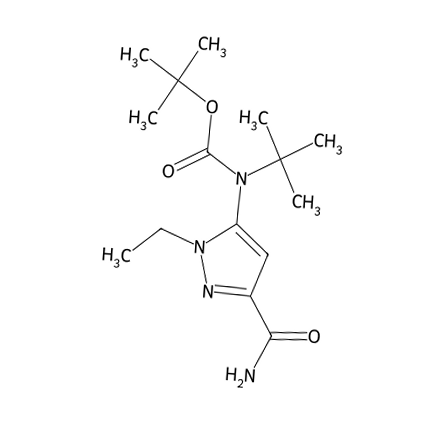 CCn1nc(C(N)=O)cc1N(C(=O)OC(C)(C)C)C(C)(C)C